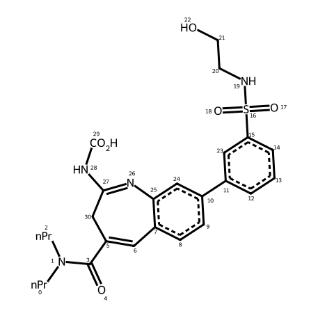 CCCN(CCC)C(=O)C1=Cc2ccc(-c3cccc(S(=O)(=O)NCCO)c3)cc2N=C(NC(=O)O)C1